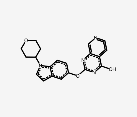 Oc1nc(Oc2ccc3c(ccn3C3CCOCC3)c2)nc2c1=C=C=NC=2